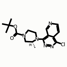 C[C@@H]1CN(C(=O)OC(C)(C)C)CCN1c1nnc(Cl)c2ccncc12